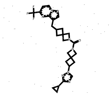 O=C(N1CC2(CC(Cc3cnn4ccc(C(F)(F)F)nc34)C2)C1)N1CC2(CC(n3cnc(C4CC4)n3)C2)C1